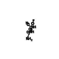 NCCCCC(=O)Nc1ccc2c(-c3ccncc3)c(-c3ccc(F)cc3)[nH]c2n1